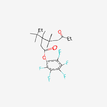 CCC(=O)CC(C)(C)C(C)(CC(=O)Oc1c(F)c(F)c(F)c(F)c1F)C(C)(C)CC